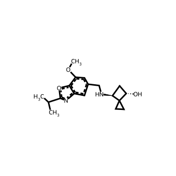 COc1cc(CN[C@H]2C[C@H](O)C23CC3)cc2nc(C(C)C)oc12